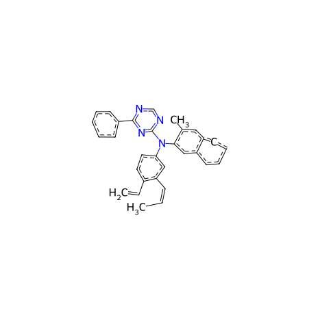 C=Cc1ccc(N(c2ncnc(-c3ccccc3)n2)c2cc3ccccc3cc2C)cc1/C=C\C